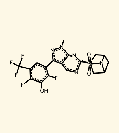 Cn1nc(-c2cc(C(F)(F)F)c(F)c(O)c2F)c2cnc(N3CC4CC(C3)N4S(C)(=O)=O)nc21